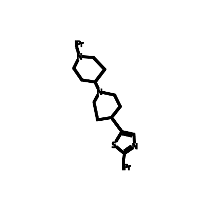 CC(C)c1ncc(C2CCN(C3CCN(C(C)C)CC3)CC2)s1